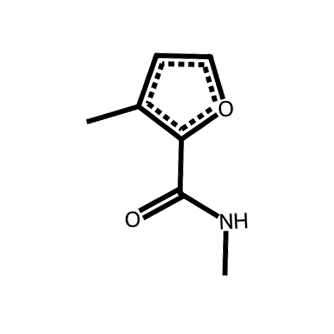 CNC(=O)c1occc1C